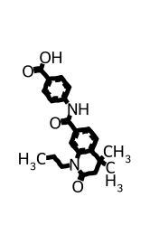 CCCN1C(=O)CC(C)(C)c2ccc(C(=O)Nc3ccc(C(=O)O)cc3)cc21